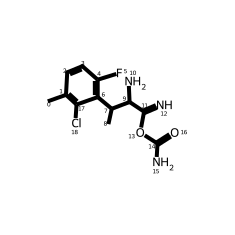 Cc1ccc(F)c(C(C)C(N)C(=N)OC(N)=O)c1Cl